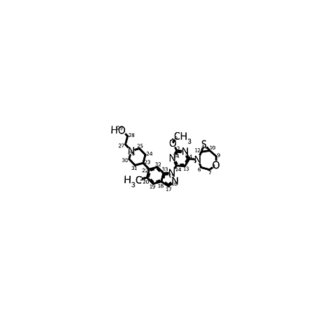 COc1nc(N2CCOCC3SC32)cc(-n2ncc3cc(C)c(C4CCN(CCO)CC4)cc32)n1